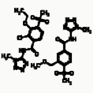 CCOc1c(S(C)(=O)=O)ccc(C(=O)Nc2nnnn2C)c1Cl.COCc1cc(C(=O)Nc2nnnn2C)ccc1S(C)(=O)=O